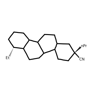 CCC[C@@]1(C#N)CCC2C(CCC3C2CCC2C3CCC[C@H]2CC)C1